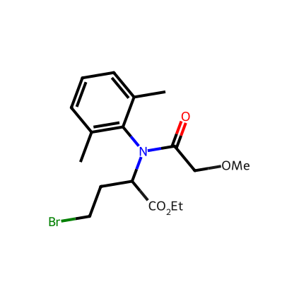 CCOC(=O)C(CCBr)N(C(=O)COC)c1c(C)cccc1C